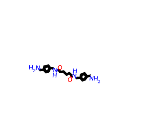 NCc1ccc(CNC(=O)CCCCC(=O)NCc2ccc(CN)cc2)cc1